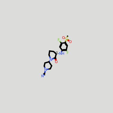 CS(=O)(=O)c1cc(F)c(N[C@H]2CCCN(C3CCN(C#N)CC3)C2=O)cc1F